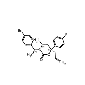 C=CC[C@@]1(c2ccc(F)cc2)C[C@H](C)N([C@@H](C)c2ccc(Br)cc2)C(=O)O1